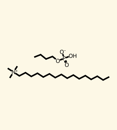 CCCCCCCCCCCCCCCC[N+](C)(C)C.CCCCOP(=O)([O-])O